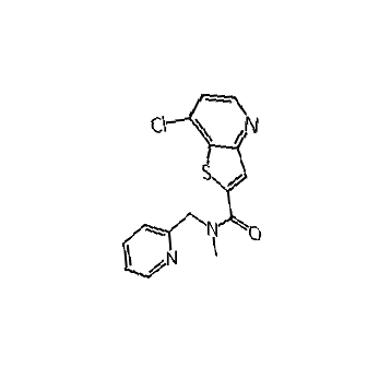 CN(Cc1ccccn1)C(=O)c1cc2nccc(Cl)c2s1